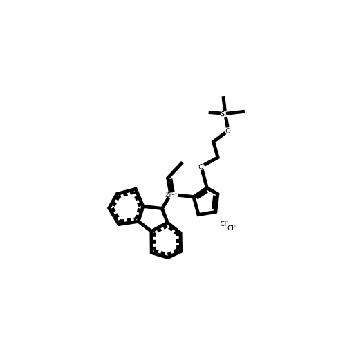 C[CH]=[Zr+2]([C]1=C(OCCO[Si](C)(C)C)C=CC1)[CH]1c2ccccc2-c2ccccc21.[Cl-].[Cl-]